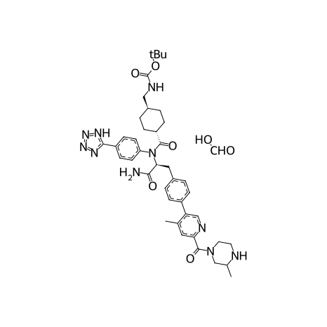 Cc1cc(C(=O)N2CCNC(C)C2)ncc1-c1ccc(C[C@@H](C(N)=O)N(c2ccc(-c3nnn[nH]3)cc2)C(=O)[C@H]2CC[C@H](CNC(=O)OC(C)(C)C)CC2)cc1.O=CO